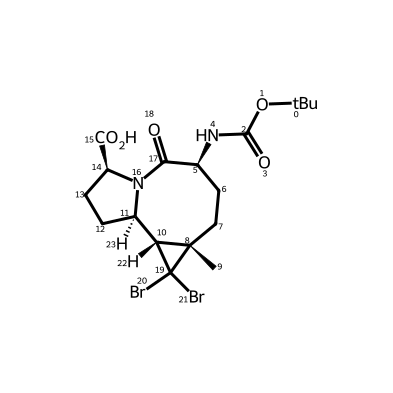 CC(C)(C)OC(=O)N[C@H]1CC[C@@]2(C)[C@@H]([C@H]3CC[C@@H](C(=O)O)N3C1=O)C2(Br)Br